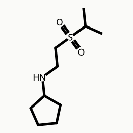 CC(C)S(=O)(=O)CCNC1CCCC1